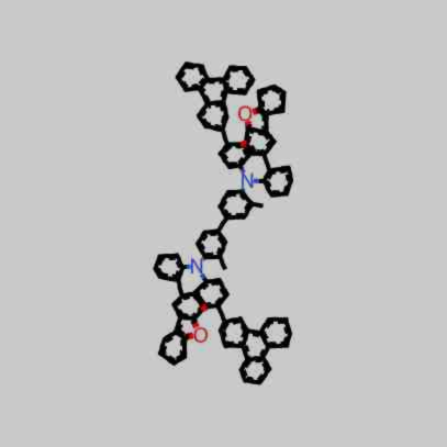 Cc1cc(-c2ccc(N(c3ccc(-c4ccc5c6ccccc6c6ccccc6c5c4)cc3)c3ccccc3-c3ccc4oc5ccccc5c4c3)c(C)c2)ccc1N(c1ccc(-c2ccc3c4ccccc4c4ccccc4c3c2)cc1)c1ccccc1-c1ccc2oc3ccccc3c2c1